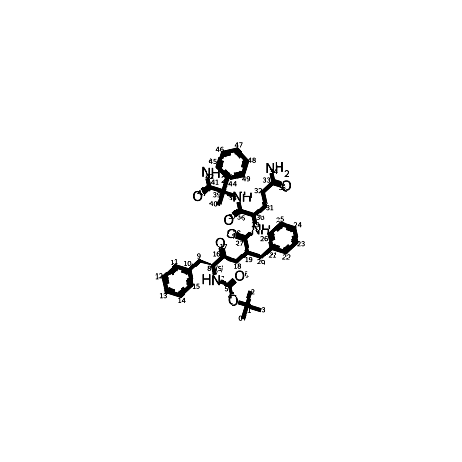 CC(C)(C)OC(=O)N[C@@H](Cc1ccccc1)C(=O)CC(Cc1ccccc1)C(=O)NC(CCC(N)=O)C(=O)NC(C)(C(N)=O)c1ccccc1